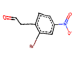 O=CCc1ccc([N+](=O)[O-])cc1Br